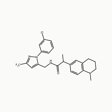 CC(C(=O)NCc1cc(C(F)(F)F)nn1-c1cccc(Cl)c1)c1ccc2c(c1)CCCN2C